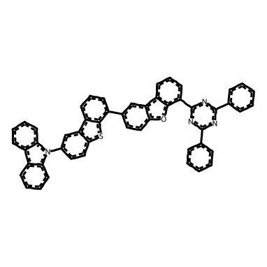 c1ccc(-c2nc(-c3ccccc3)nc(-c3cccc4c3oc3ccc(-c5cccc6c5sc5ccc(-n7c8ccccc8c8ccccc87)cc56)cc34)n2)cc1